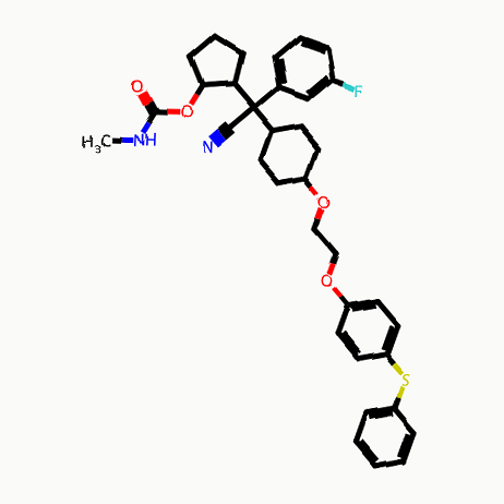 CNC(=O)OC1CCCC1C(C#N)(c1cccc(F)c1)C1CCC(OCCOc2ccc(Sc3ccccc3)cc2)CC1